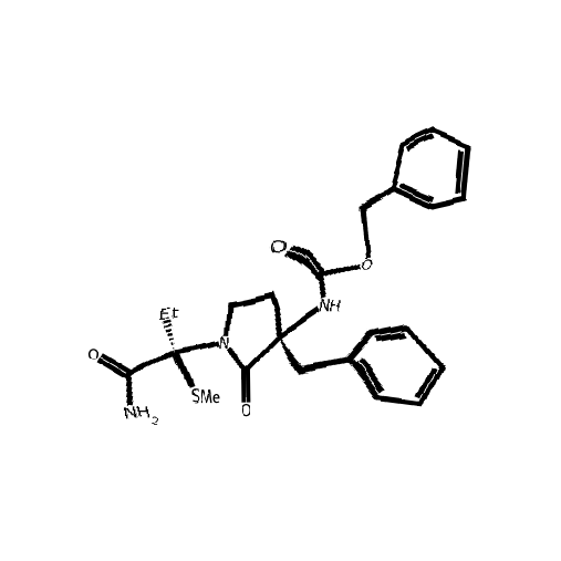 CC[C@](SC)(C(N)=O)N1CC[C@](Cc2ccccc2)(NC(=O)OCc2ccccc2)C1=O